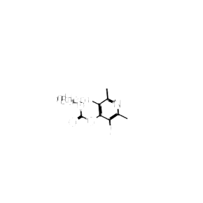 CCCCCCCc1c(C)nc(C)c(I)c1OC(=O)OC(C)(C)C